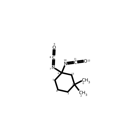 CC1(C)CCCC(N=C=O)(N=C=O)C1